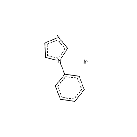 [Ir].c1ccc(-n2ccnc2)cc1